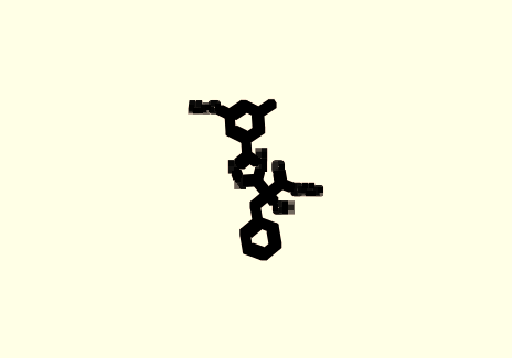 COC(=O)C(O)(Cc1ccccc1)c1nnc(-c2cc(C)cc(OC)c2)[nH]1